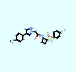 O=C(Cn1cc(-c2ccc(C(F)(F)F)cc2)cn1)N[C@@H]1CC[C@@H]1S(=O)(=O)c1ccc(F)cc1